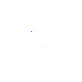 C1CNCCNCCN1.O=[PH2]O